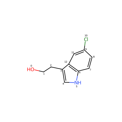 OCCc1c[nH]c2ccc(Cl)cc12